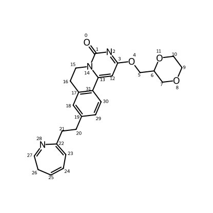 O=c1nc(OCC2COCCO2)cc2n1CCc1cc(CCC3=CC=CCC=N3)ccc1-2